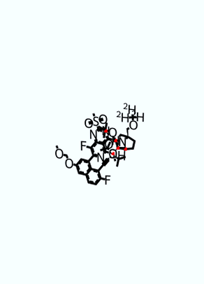 [2H]C([2H])([2H])OC[C@]12CC[C@H](CN(c3nc(S(C)(=O)=O)nc4c(F)c(-c5cc(OCOC)cc6ccc(F)c(C#C[Si](C(C)C)(C(C)C)C(C)C)c56)nc(OC)c34)C1)N2C(=O)OC(C)(C)C